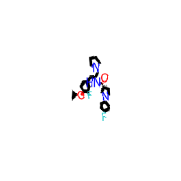 O=C(NC(Cc1ccc(OC2CC2)c(F)c1)CN1CCCC1)[C@@H]1CCN(c2ccc(F)cc2)C1